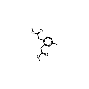 COC(=O)Cc1ccc(C)cc1CC(=O)OC